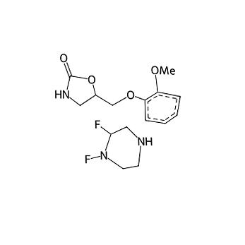 COc1ccccc1OCC1CNC(=O)O1.FC1CNCCN1F